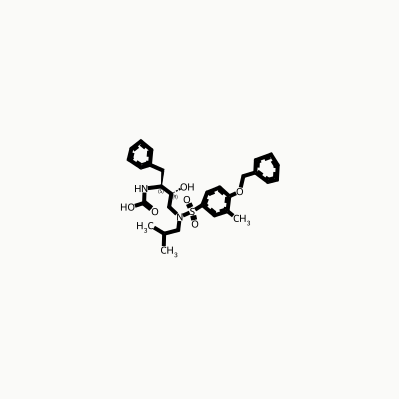 Cc1cc(S(=O)(=O)N(CC(C)C)C[C@@H](O)[C@H](Cc2ccccc2)NC(=O)O)ccc1OCc1ccccc1